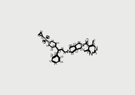 Cc1ncnc(C)c1C(=O)N1CC2=CN(CCC(c3ccccc3)C3CCN(S(=O)(=O)C4CC4)CC3)CC2C1